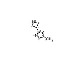 Cc1cn(C2CNC2)nn1